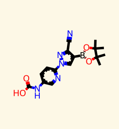 CC1(C)OB(c2cn(-c3ccc(NC(=O)O)cn3)nc2C#N)OC1(C)C